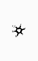 Fc1c(F)c(Br)c(Br)c(C(F)(F)F)c1F